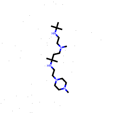 CN1CCN(CCNC(C)(C)CCN(C)CCNC(C)(C)C)CC1